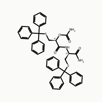 NC(=O)O[C@H](CSC(c1ccccc1)(c1ccccc1)c1ccccc1)C(=O)N[C@H](CSC(c1ccccc1)(c1ccccc1)c1ccccc1)C(N)=O